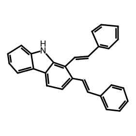 C(=C\c1ccc2c([nH]c3ccccc32)c1/C=C/c1ccccc1)/c1ccccc1